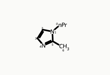 CCCn1ccnc1C